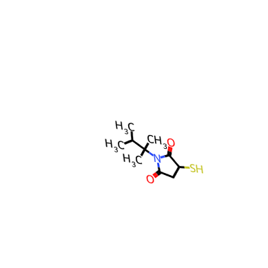 CC(C)C(C)(C)N1C(=O)CC(S)C1=O